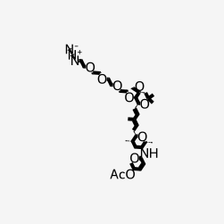 CC(=O)O[C@@H](C)/C=C\C(=O)N[C@@H]1C[C@H](C)[C@H](C/C=C(C)/C=C/[C@H]2OC(C)(C)C[C@@]3(CO3)[C@@H]2OCCOCCOCCOCCN=[N+]=[N-])O[C@@H]1C